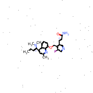 C=C/C=C(/c1cc(C)nc2c(OCc3c(I)cncc3/C=C/C(N)=O)cccc12)N(C)C